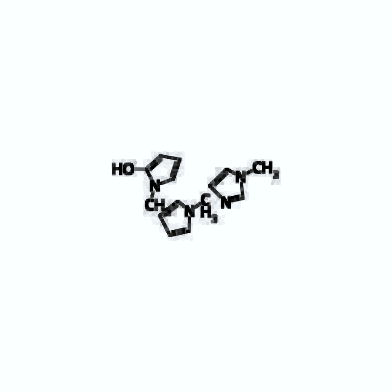 Cn1cccc1.Cn1cccc1O.Cn1ccnc1